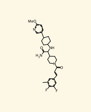 COc1ccc(C2CCC(NC(C(N)=O)C3CCN(C(=O)/C=C/c4cc(C)c(F)c(F)c4)CC3)CC2)cn1